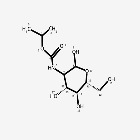 CC(C)OC(=O)NC1C(O)O[C@H](CO)[C@@H](O)[C@@H]1O